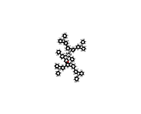 c1ccc(-c2ccc(-c3ccccc3)c(-c3nc(-c4cccc(-n5c6ccc(-c7ccc8c(c7)c7ccccc7n8-c7ccccc7)cc6c6cc(-c7ccc8c(c7)c7ccccc7n8-c7ccccc7)ccc65)c4)nc(-n4c5ccc(-c6ccc7c(c6)c6ccccc6n7-c6ccccc6)cc5c5cc(-c6ccc7c(c6)c6ccccc6n7-c6ccccc6)ccc54)n3)c2)cc1